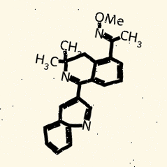 CON=C(C)c1cccc2c1CC(C)(C)N=C2c1cnc2ccccc2c1